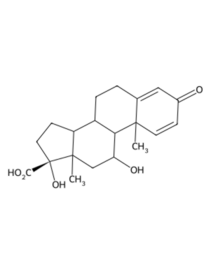 CC12C=CC(=O)C=C1CCC1C2C(O)CC2(C)C1CC[C@]2(O)C(=O)O